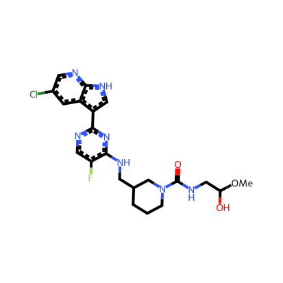 COC(O)CNC(=O)N1CCCC(CNc2nc(-c3c[nH]c4ncc(Cl)cc34)ncc2F)C1